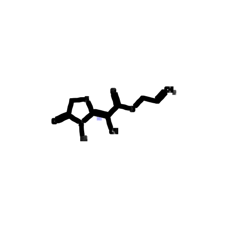 C=CCOC(=O)/C(C#N)=C1\SCC(=O)N1CC